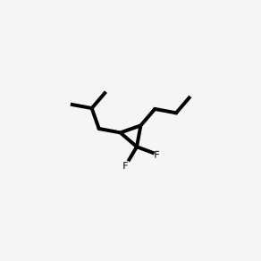 CCCC1C(CC(C)C)C1(F)F